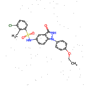 CCOc1ccc(-n2[nH]c(=O)c3cc(NS(=O)(=O)c4cccc(Cl)c4C)ccc32)cc1